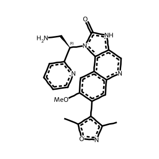 COc1cc2c(cc1-c1c(C)noc1C)ncc1[nH]c(=O)n([C@H](CN)c3ccccn3)c12